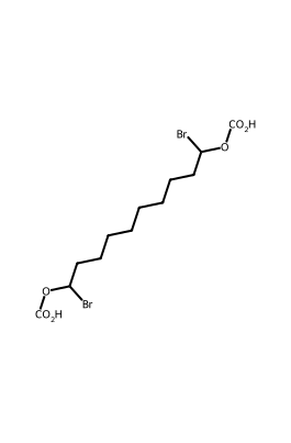 O=C(O)OC(Br)CCCCCCCCC(Br)OC(=O)O